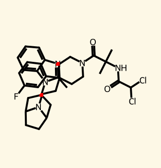 Cc1nc2ccccc2n1C1CC2CCC(C1)N2CCC1(c2cccc(F)c2)CCN(C(=O)C(C)(C)NC(=O)C(Cl)Cl)CC1